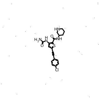 NC(=O)Nc1cc(C#Cc2ccc(Cl)cc2)sc1C(=O)NC1CCCNC1